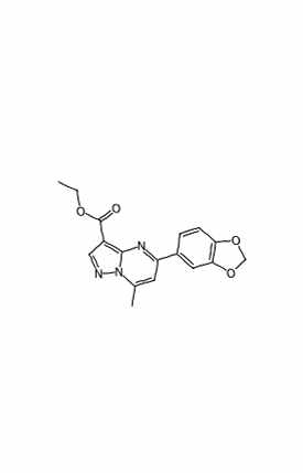 CCOC(=O)c1cnn2c(C)cc(-c3ccc4c(c3)OCO4)nc12